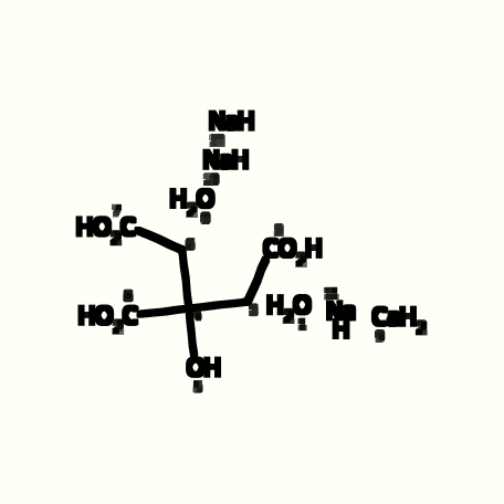 O.O.O=C(O)CC(O)(CC(=O)O)C(=O)O.[CaH2].[NaH].[NaH].[NaH]